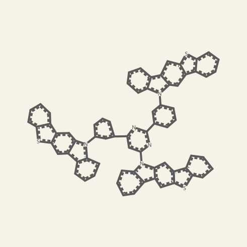 c1cc(-c2cc(-n3c4ccccc4c4cc5sc6ccccc6c5cc43)nc(-c3cccc(-n4c5ccccc5c5cc6sc7ccccc7c6cc54)c3)n2)cc(-n2c3ccccc3c3cc4sc5ccccc5c4cc32)c1